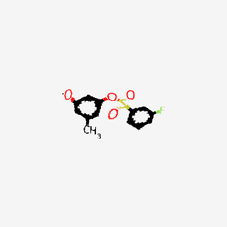 Cc1cc([O])cc(OS(=O)(=O)c2cccc(F)c2)c1